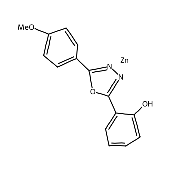 COc1ccc(-c2nnc(-c3ccccc3O)o2)cc1.[Zn]